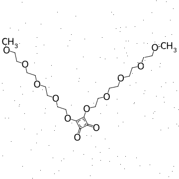 COCCOCCOCCOCCOc1c(OCCOCCOCCOCCOC)c(=O)c1=O